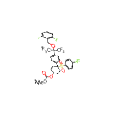 COC(=O)OC1CCC(c2ccc(C(OCc3c(F)cccc3F)(C(F)(F)F)C(F)(F)F)cc2)(S(=O)(=O)c2ccc(F)cc2)CC1